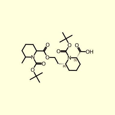 CC1CCCC(C(=O)OCC[C@H]2CCC[C@@H](C(=O)O)N2C(=O)OC(C)(C)C)N1C(=O)OC(C)(C)C